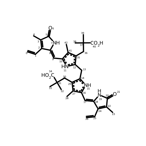 C=CC1=C(C)C(=O)N/C1=C\c1[nH]c(Cc2[nH]c(/C=C3\NC(=O)C(C)=C3C=C)c(C)c2CC(C)(C)C(=O)O)c(CC(C)(C)C(=O)O)c1C